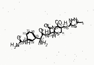 Cc1nnc(SCC2=C(C(=O)O)N3C(=O)C(NC(=O)C(N)c4cccc(NC(N)=O)c4)[C@H]3SC2)s1